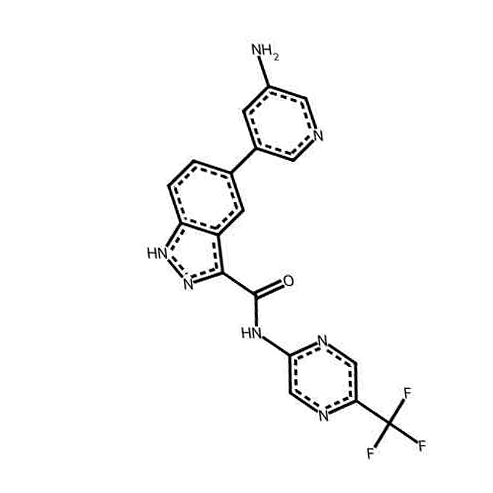 Nc1cncc(-c2ccc3[nH]nc(C(=O)Nc4cnc(C(F)(F)F)cn4)c3c2)c1